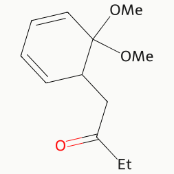 CCC(=O)CC1C=CC=CC1(OC)OC